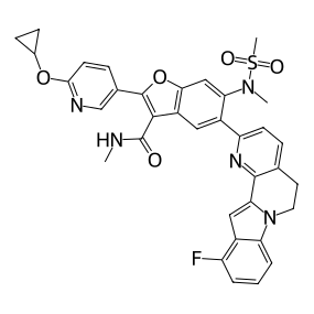 CNC(=O)c1c(-c2ccc(OC3CC3)nc2)oc2cc(N(C)S(C)(=O)=O)c(-c3ccc4c(n3)-c3cc5c(F)cccc5n3CC4)cc12